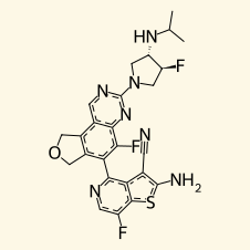 CC(C)N[C@H]1CN(c2ncc3c4c(c(-c5ncc(F)c6sc(N)c(C#N)c56)c(F)c3n2)COC4)C[C@@H]1F